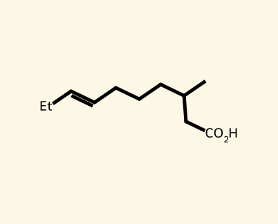 CCC=CCCCC(C)CC(=O)O